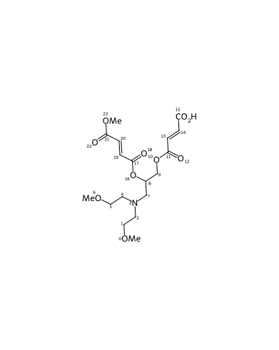 COCCN(CCOC)CC(COC(=O)/C=C/C(=O)O)OC(=O)/C=C/C(=O)OC